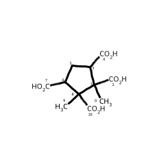 CC1(C(=O)O)C(C(=O)O)CC(C(=O)O)C1(C)C(=O)O